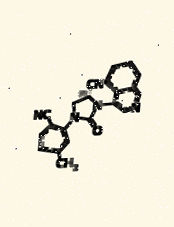 Cc1ccc(C#N)c(N2C[C@H](C#N)N(c3cncc4ccccc34)C2=O)c1